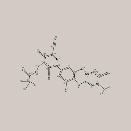 CC(C)c1cc(Oc2c(Cl)cc(-n3nc(C#N)c(=O)n(COC(=O)C(C)(C)C)c3=O)cc2Cl)n[nH]c1=O